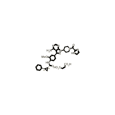 COc1cc(-c2nn(C3CCN(C(=O)c4ncc[nH]4)CC3)c3ncnc(N)c23)ccc1NC(=O)[C@@H]1C[C@H]1c1ccccc1.O=C(O)/C=C\C(=O)O